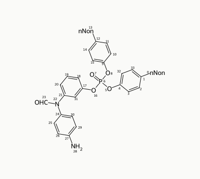 CCCCCCCCCc1ccc(OP(=O)(Oc2ccc(CCCCCCCCC)cc2)Oc2cccc(N(C=O)c3ccc(N)cc3)c2)cc1